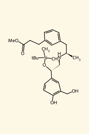 COC(=O)CCc1cccc(C[C@@H](C)NC[C@@H](O[Si](C)(C)C(C)(C)C)c2ccc(O)c(CO)c2)c1